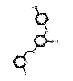 Nc1cc(OCc2cccc(Cl)n2)ccc1Sc1ccc(O)cc1